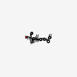 O=C(NS(=O)(=O)c1ccc(N[C@H](CCN2C=C3CC2C3)CSc2ccccc2)c(S(=O)(=O)C(F)(F)F)c1)c1ccc(N2CCN(CC3=C(c4ccc(Cl)cc4)CCCCC3)CC2)cc1